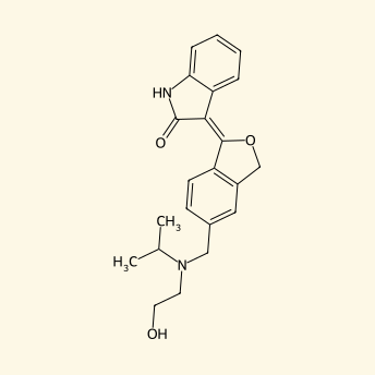 CC(C)N(CCO)Cc1ccc2c(c1)COC2=C1C(=O)Nc2ccccc21